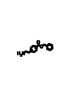 NCCN1CCN(C(=O)OCc2ccccc2)CC1